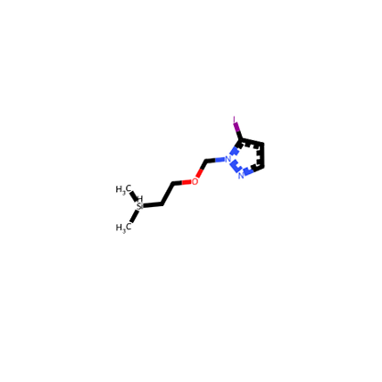 C[SiH](C)CCOCn1nccc1I